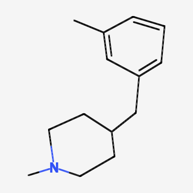 Cc1cccc(CC2CCN(C)CC2)c1